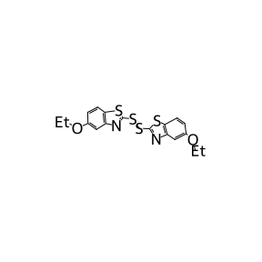 CCOc1ccc2sc(SSc3nc4cc(OCC)ccc4s3)nc2c1